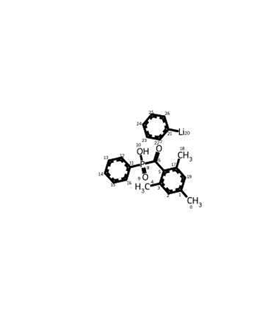 Cc1cc(C)c(C(=O)P(=O)(O)c2ccccc2)c(C)c1.[Li][c]1ccccc1